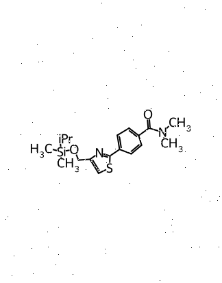 CC(C)[Si](C)(C)OCc1csc(-c2ccc(C(=O)N(C)C)cc2)n1